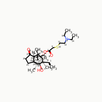 C=C[C@]1(C)C[C@@H](OC(=O)CSCCN(CC)CC)[C@]2(C)[C@H](C)CC[C@]3(CCC(=O)[C@H]32)[C@@H](C)[C@@H]1O